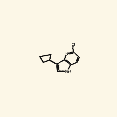 Clc1ccc2[nH]cc(C3CCC3)c2n1